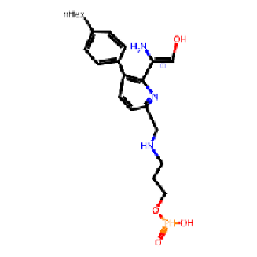 CCCCCCc1ccc(-c2ccc(CNCCCO[PH](=O)O)nc2/C(N)=C/O)cc1